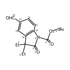 CCC1(CC)C(=O)N(C(=O)OC(C)(C)C)c2ccc(C=O)cc21